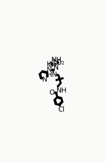 CC(C)(CCNC(=O)c1ccc(Cl)cc1)CNC(=NS(N)(=O)=O)Nc1cccnc1